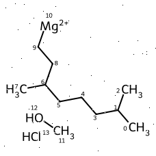 CC(C)CCCC(C)C[CH2][Mg+2].CO.Cl